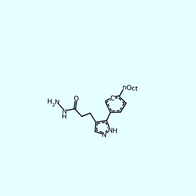 CCCCCCCCc1ccc(-c2[nH]ncc2CCC(=O)NN)cc1